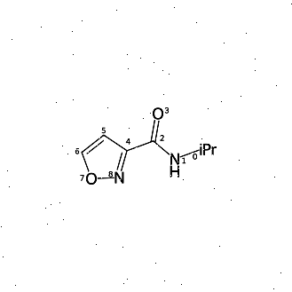 CC(C)NC(=O)c1ccon1